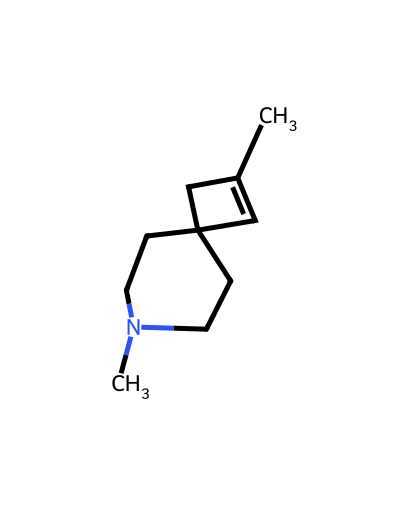 CC1=CC2(CCN(C)CC2)C1